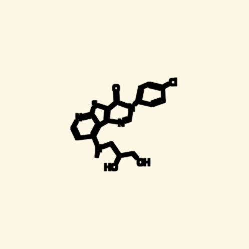 CN(CC(O)CO)c1ccnc2sc3c(=O)n(-c4ccc(Cl)cc4)cnc3c12